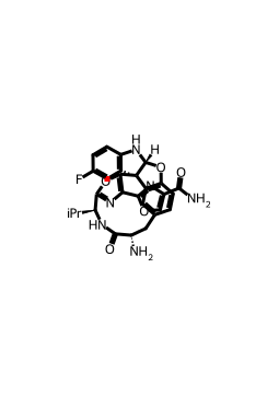 CC(C)[C@@H]1NC(=O)[C@@H](N)Cc2ccc3c(c2)[C@@]2(c4cc(F)ccc4N[C@@H]2O3)c2oc1nc2-c1nc(C(N)=O)co1